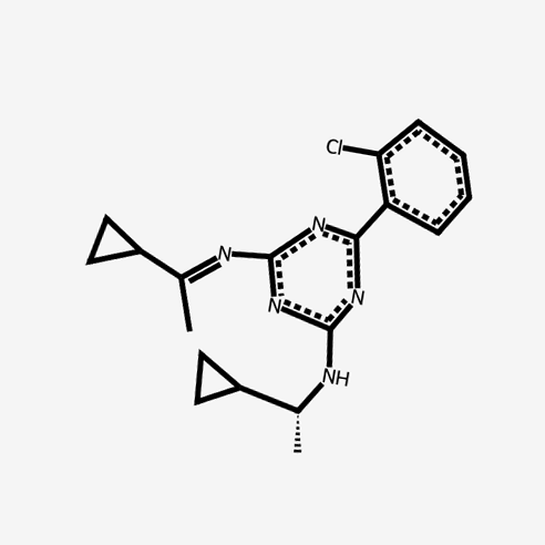 C/C(=N\c1nc(N[C@H](C)C2CC2)nc(-c2ccccc2Cl)n1)C1CC1